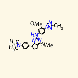 CNc1nc(Nc2ccc(-n3cnc(C)n3)c(OC)c2)nc2c1CCC2c1ccc(N(C)C)cc1